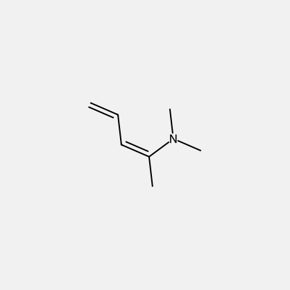 C=CC=C(C)N(C)C